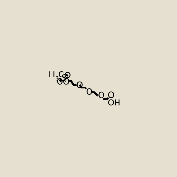 CS(=O)(=O)OCCOCCOCCOCC(=O)O